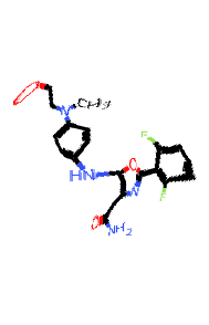 CN(CC=O)c1ccc(Nc2oc(-c3c(F)cccc3F)nc2C(N)=O)cc1